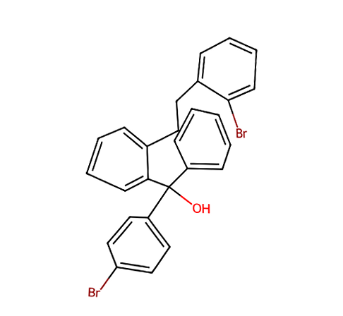 OC(c1ccccc1)(c1ccc(Br)cc1)c1ccccc1CCc1ccccc1Br